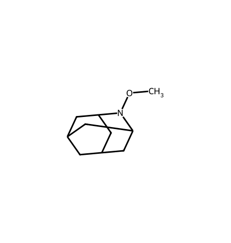 CON1C2CC3CC(C2)CC1C3